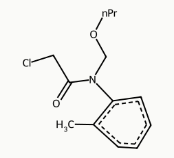 CCCOCN(C(=O)CCl)c1ccccc1C